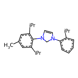 Cc1cc(C(C)C)c(N2C=CN(c3ccccc3C(C)C)C2)c(C(C)C)c1